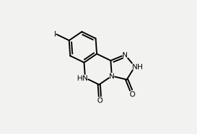 O=c1[nH]nc2c3ccc(I)cc3[nH]c(=O)n12